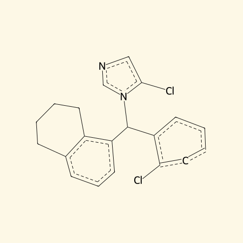 Clc1ccccc1C(c1cccc2c1CCCC2)n1cncc1Cl